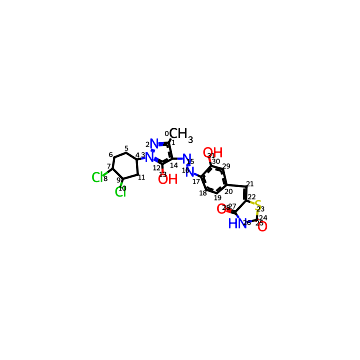 Cc1nn(C2CCC(Cl)C(Cl)C2)c(O)c1N=Nc1ccc(C=C2SC(=O)NC2=O)cc1O